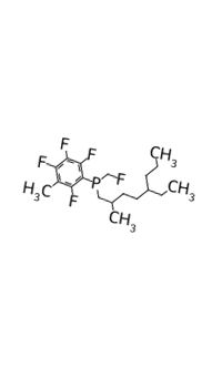 CCCC(CC)CCC(C)CP(CF)c1c(F)c(C)c(F)c(F)c1F